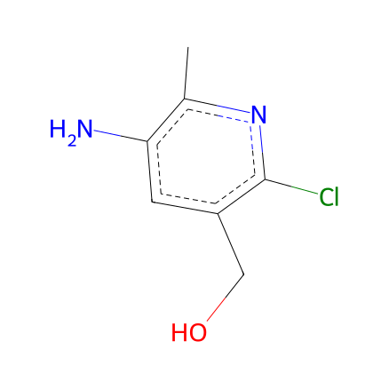 Cc1nc(Cl)c(CO)cc1N